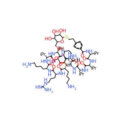 CC(C)C(NC(=O)c1ccc(CCSC2OC(CO)C(O)C(O)C2O)cc1)C(=O)NC(C(=O)NC(C(=O)NC(CCCCN)C(=O)NC(CCCCN)C(=O)NC(CCCCN)C(=O)NC(CCCNC(=N)N)C(=O)NC(CCCCN)C(=O)NC(C(=O)NC(C(=O)NC(CS)C(=O)O)C(C)C)C(C)C)C(C)C)C(C)C